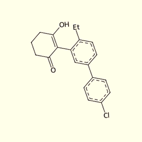 CCc1ccc(-c2ccc(Cl)cc2)cc1C1=C(O)CCCC1=O